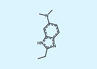 CCc1nc2ccc(N(C)C)cc2[nH]1